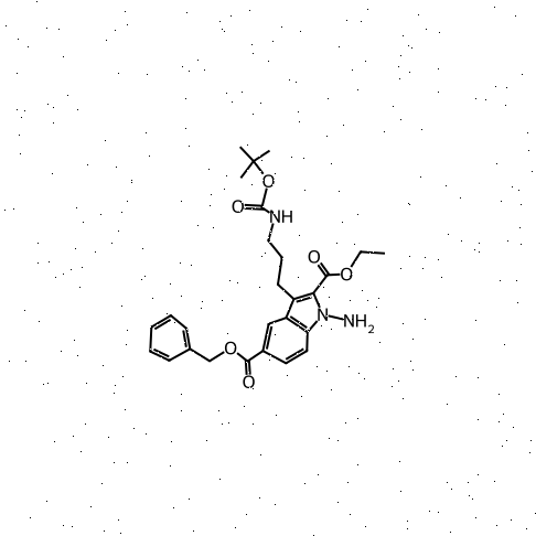 CCOC(=O)c1c(CCCNC(=O)OC(C)(C)C)c2cc(C(=O)OCc3ccccc3)ccc2n1N